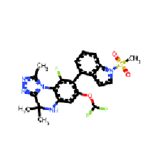 Cc1nnc2n1-c1c(cc(OC(F)F)c(-c3cccc4c3ccn4S(C)(=O)=O)c1F)NC2(C)C